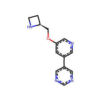 c1ncc(-c2cncc(OC[C@@H]3CCN3)c2)cn1